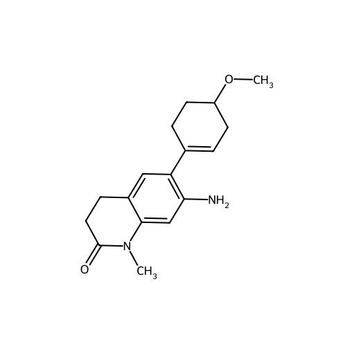 COC1CC=C(c2cc3c(cc2N)N(C)C(=O)CC3)CC1